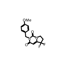 COc1ccc(Cn2c(=O)cc3n(c2=O)CCC3(F)F)cc1